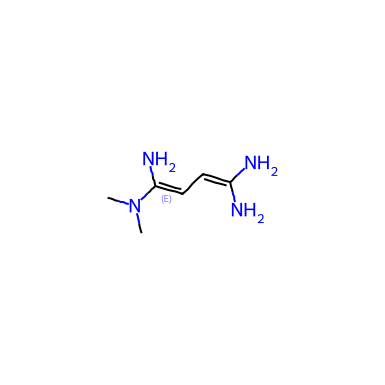 CN(C)/C(N)=C/C=C(N)N